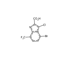 O=C(O)c1nc2c(C(F)(F)F)ccc(Br)n2c1Cl